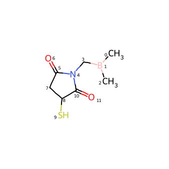 CB(C)CN1C(=O)CC(S)C1=O